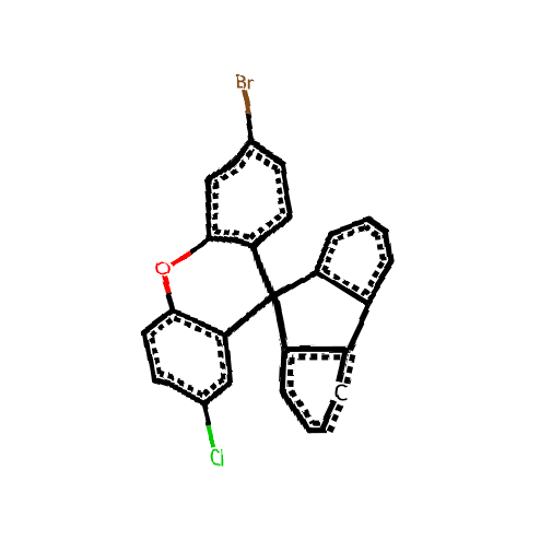 Clc1ccc2c(c1)C1(c3ccc(Br)cc3O2)c2ccccc2-c2ccccc21